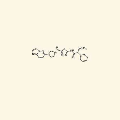 COC(C(=O)Nc1nnc(N[C@@H]2CCN(c3ccc4nccn4n3)C2)s1)c1ccccc1